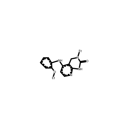 CCOc1ccccc1Nc1ccnc2c1CN(CC)C(=O)N2